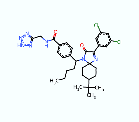 CCCCC(c1ccc(C(=O)NCc2nn[nH]n2)cc1)N1C(=O)C(c2cc(Cl)cc(Cl)c2)=NC12CCC(C(C)(C)C)CC2